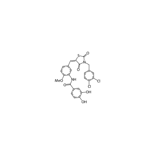 COc1ccc(C=C2SC(=O)N(Cc3ccc(Cl)c(Cl)c3)C2=O)cc1NC(=O)c1ccc(O)c(O)c1